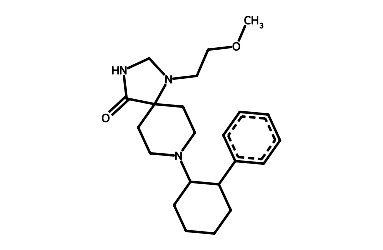 COCCN1CNC(=O)C12CCN(C1CCCCC1c1ccccc1)CC2